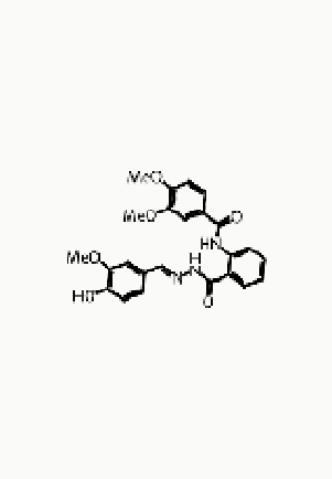 COc1cc(C=NNC(=O)c2ccccc2NC(=O)c2ccc(OC)c(OC)c2)ccc1O